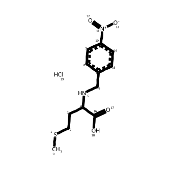 CSCCC(NCc1ccc([N+](=O)[O-])cc1)C(=O)O.Cl